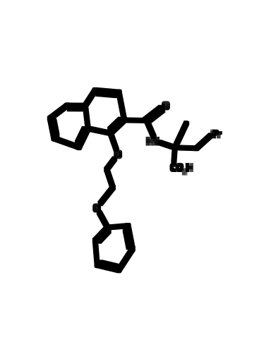 CC(C)CC(C)(NC(=O)c1ccc2ccccc2c1OCCOc1ccccc1)C(=O)O